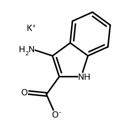 Nc1c(C(=O)[O-])[nH]c2ccccc12.[K+]